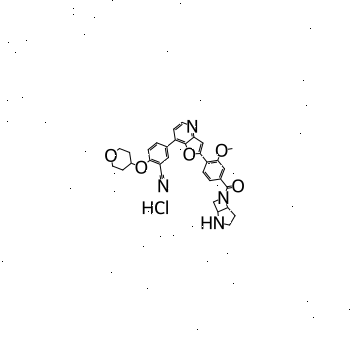 COc1cc(C(=O)N2CC3NCCC32)ccc1-c1cc2nccc(-c3ccc(OC4CCOCC4)c(C#N)c3)c2o1.Cl